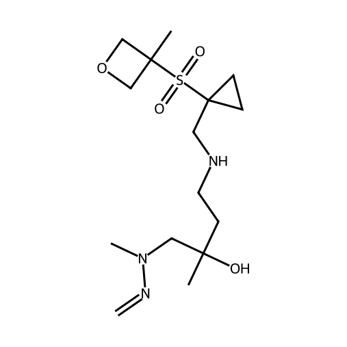 C=NN(C)CC(C)(O)CCNCC1(S(=O)(=O)C2(C)COC2)CC1